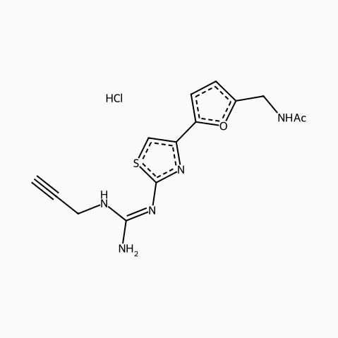 C#CCNC(N)=Nc1nc(-c2ccc(CNC(C)=O)o2)cs1.Cl